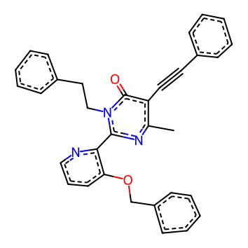 Cc1nc(-c2ncccc2OCc2ccccc2)n(CCc2ccccc2)c(=O)c1C#Cc1ccccc1